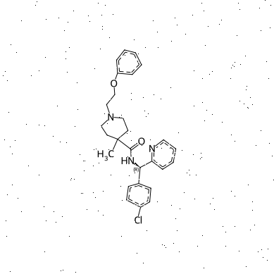 CC1(C(=O)N[C@H](c2ccc(Cl)cc2)c2ccccn2)CCN(CCOc2ccccc2)CC1